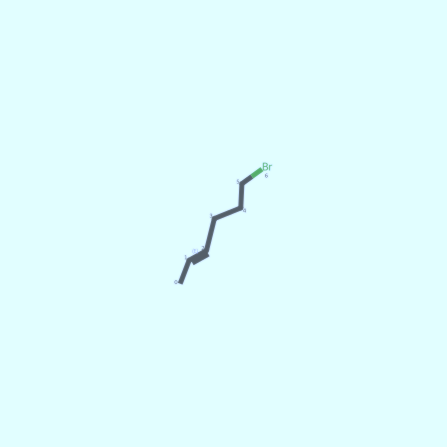 C/C=C/CCCBr